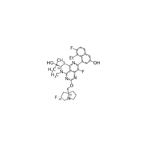 CCc1c(F)ccc2cc(O)cc(-c3nc4c5c(nc(OC[C@@]67CCCN6C[C@H](F)C7)nc5c3F)N(C)[C@@H](C(C)(C)O)C4)c12